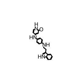 O=c1cc(Nc2ccc(NCCc3c[nH]c4ccccc34)cc2)cc[nH]1